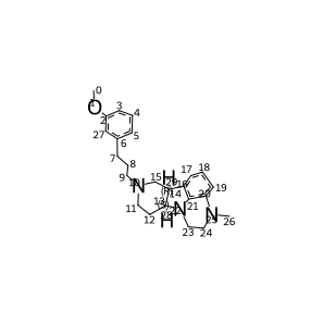 COc1cccc(CCCN2CC[C@H]3[C@@H](C2)c2cccc4c2N3CCN4C)c1